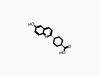 O=C(O)[C@H]1CC[C@H](c2ccc3cc(O)ccc3n2)CC1